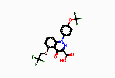 O=C(O)c1nn(-c2ccc(OC(F)(F)F)cc2)c2cccc(SCC(F)(F)F)c2c1=O